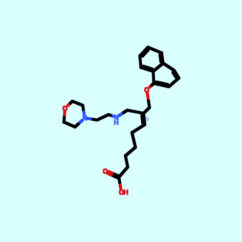 O=C(O)CCCC/C=C(\CNCCN1CCOCC1)COc1cccc2ccccc12